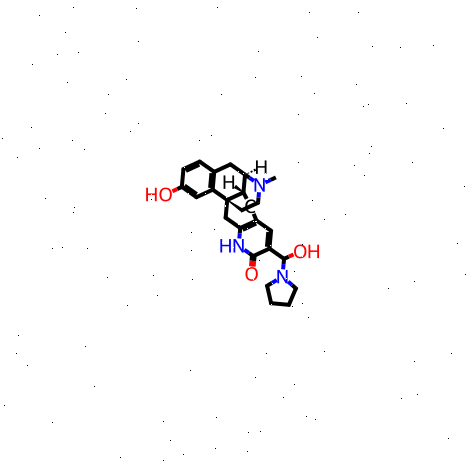 CN1CC[C@]23Cc4[nH]c(=O)c(C(O)N5CCCC5)cc4C[C@H]2[C@H]1Cc1ccc(O)cc13